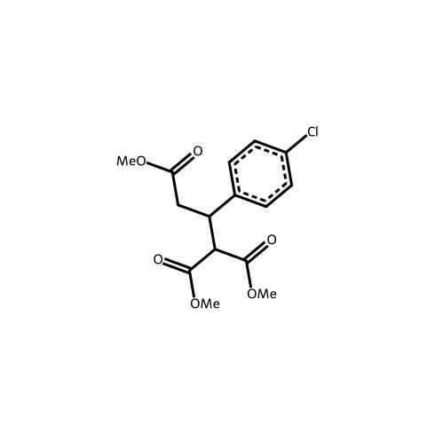 COC(=O)CC(c1ccc(Cl)cc1)C(C(=O)OC)C(=O)OC